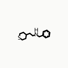 c1ccc(CNCCC2CCSCC2)cc1